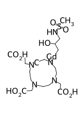 CS(=O)(=O)NCC(O)[CH2][Gd][N]1CCN(CC(=O)O)CCN(CC(=O)O)CCN(CC(=O)O)CC1